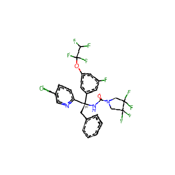 O=C(N[C@@](Cc1ccccc1)(c1cc(F)cc(OC(F)(F)C(F)F)c1)c1ccc(Cl)cn1)N1CC(F)(F)C(F)(F)C1